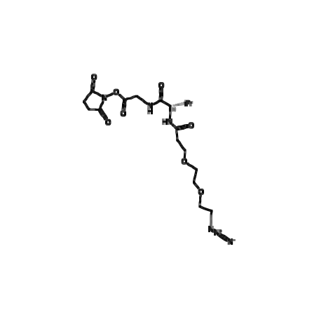 CC(C)[C@H](NC(=O)CCOCCOCCN=[N+]=[N-])C(=O)NCC(=O)ON1C(=O)CCC1=O